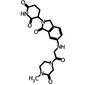 CN1CCN(C(=O)CNc2ccc3c(c2)C(=O)N(C2CCC(=O)NC2=O)C3)CC1=O